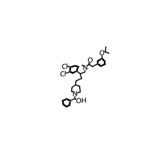 CC(C)Oc1cccc(CC(=O)N(C)CC(CCC2CCN(C(O)c3ccccc3)CC2)c2ccc(Cl)c(Cl)c2)c1